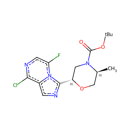 C[C@H]1CO[C@H](c2ncc3c(Cl)ncc(F)n23)CN1C(=O)OC(C)(C)C